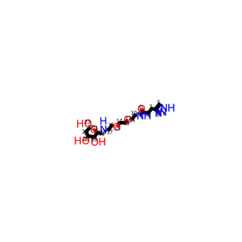 O=C(CCc1c[nH]nn1)NCCOCCOCCNCC1OC(O)C[C@@H](O)[C@H]1O